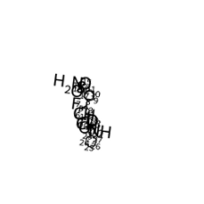 C=C/C(=C\C(=C(/C)F)c1cccc(S(N)(=O)=O)c1)OC(=O)NC1CCCCC1